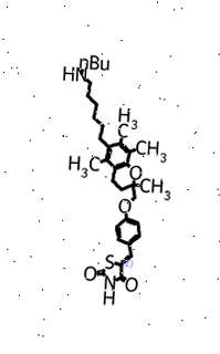 CCCCNCCCCCCc1c(C)c(C)c2c(c1C)CCC(C)(COc1ccc(/C=C3\SC(=O)NC3=O)cc1)O2